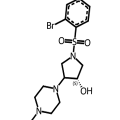 CN1CCN(C2CN(S(=O)(=O)c3ccccc3Br)C[C@@H]2O)CC1